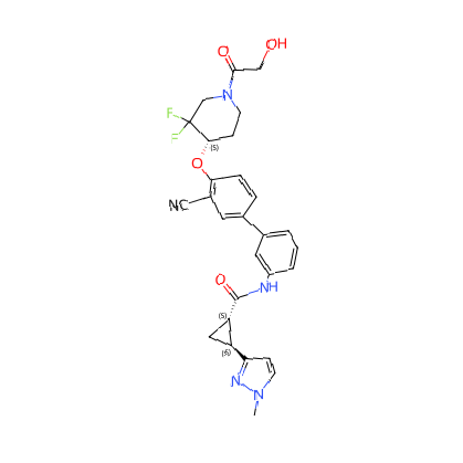 Cn1ccc([C@H]2C[C@@H]2C(=O)Nc2cccc(-c3ccc(O[C@H]4CCN(C(=O)CO)CC4(F)F)c(C#N)c3)c2)n1